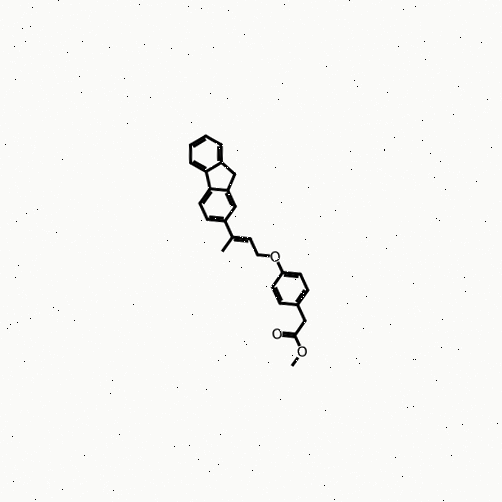 COC(=O)Cc1ccc(OCC=C(C)c2ccc3c(c2)Cc2ccccc2-3)cc1